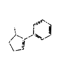 CC1CCC=C1c1ccccc1